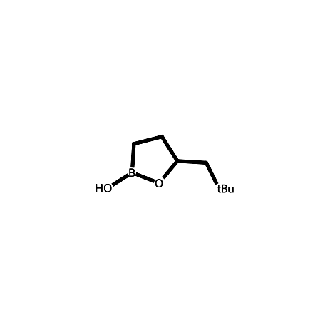 CC(C)(C)CC1CCB(O)O1